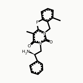 Cc1cccc(F)c1Cn1c(C)c(C)c(=O)n(C[C@H](N)c2ccccc2)c1=O